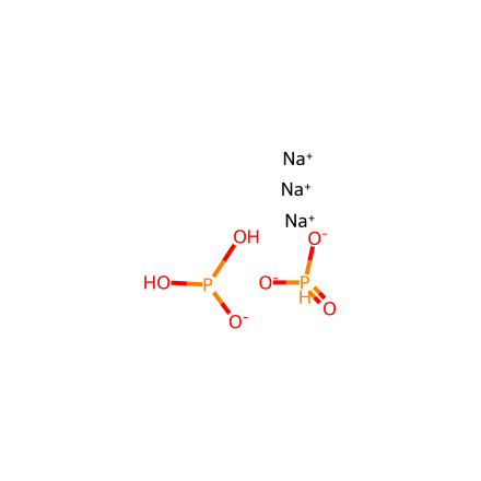 O=[PH]([O-])[O-].[Na+].[Na+].[Na+].[O-]P(O)O